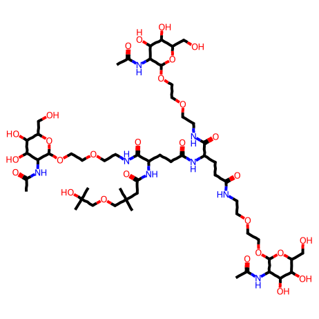 CC(=O)NC1C(OCCOCCNC(=O)CCC(NC(=O)CCC(NC(=O)CC(C)(C)COCC(C)(C)O)C(=O)NCCOCCOC2OC(CO)C(O)C(O)C2NC(C)=O)C(=O)NCCOCCOC2OC(CO)C(O)C(O)C2NC(C)=O)OC(CO)C(O)C1O